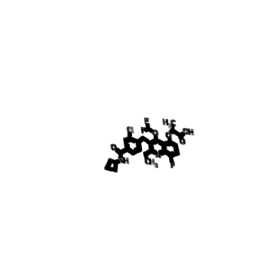 CCc1nc2c(F)ccc(O[C@@H](C)C(=O)O)c2c(OC(F)F)c1Cc1ccc(C(=O)NC2CCC2)cc1Cl